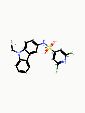 CCn1c2ccccc2c2cc(NS(=O)(=O)c3cc(Cl)nc(Cl)c3)ccc21